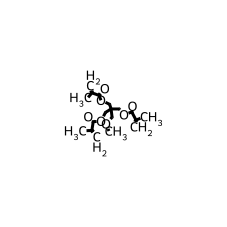 C=C(C)C(=O)OCC(COC)(COC(=O)C(=C)C)COC(=O)C(=C)C